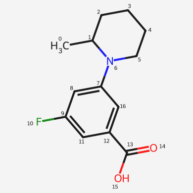 CC1CCCCN1c1cc(F)cc(C(=O)O)c1